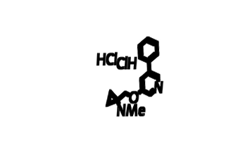 CNC1(COc2cncc(-c3ccccc3)c2)CC1.Cl.Cl